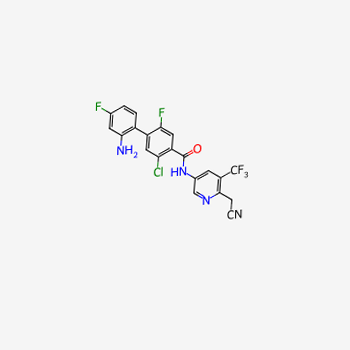 N#CCc1ncc(NC(=O)c2cc(F)c(-c3ccc(F)cc3N)cc2Cl)cc1C(F)(F)F